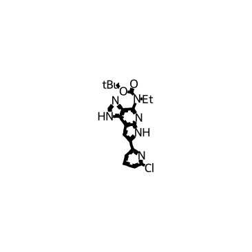 CCN(C(=O)OC(C)(C)C)c1nc2[nH]c(-c3cccc(Cl)n3)cc2c2[nH]cnc12